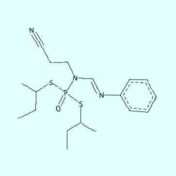 CCC(C)SP(=O)(SC(C)CC)N(C=Nc1ccccc1)CCC#N